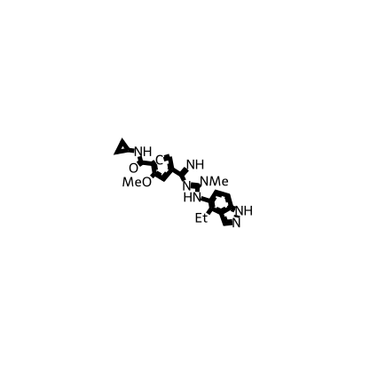 CCc1c(N/C(=N/C(=N)c2ccc(C(=O)NC3CC3)c(OC)c2)NC)ccc2[nH]ncc12